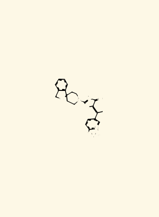 COc1ccc(/C(C)=C2\SC(N3CCC4(CC3)OCc3ccccc34)=NC2=O)cn1